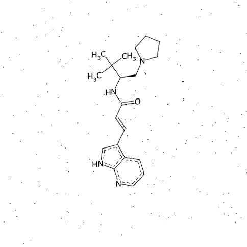 CC(C)(C)[C@@H](CN1CCCC1)NC(=O)C=Cc1c[nH]c2ncccc12